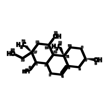 CCCC1C2CC=C3C[C@@H](O)CC[C@]3(C)C2C(O)C[C@]1(C)CO